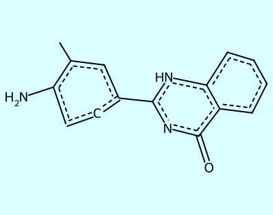 Cc1cc(-c2nc(=O)c3ccccc3[nH]2)ccc1N